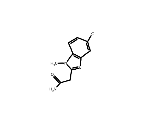 Cn1c(CC(N)=O)nc2cc(Cl)ccc21